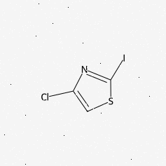 Clc1csc(I)n1